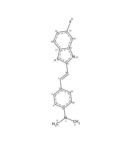 CN(C)c1ccc(C=Cc2nc3cc(F)ccc3s2)cc1